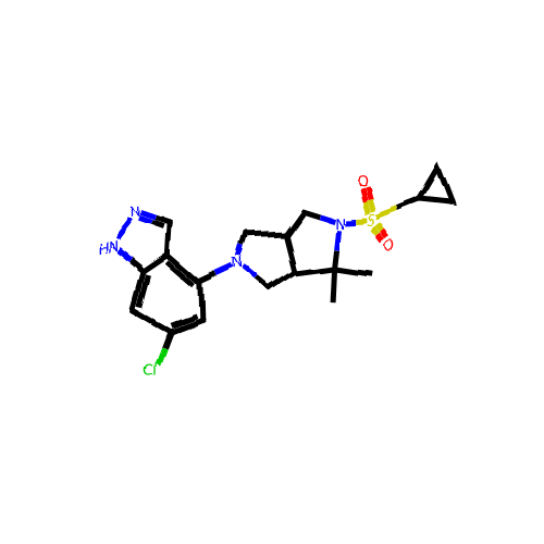 CC1(C)C2CN(c3cc(Cl)cc4[nH]ncc34)CC2CN1S(=O)(=O)C1CC1